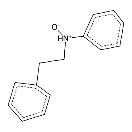 [O-][NH+](CCc1ccccc1)c1ccccc1